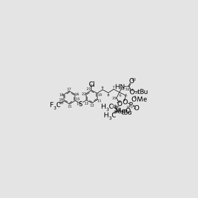 COP(=O)(OC)OCC(CCCc1ccc(Sc2cccc(C(F)(F)F)c2)cc1Cl)(CO[Si](C)(C)C(C)(C)C)NC(=O)OC(C)(C)C